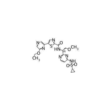 CCOc1cncc(-c2cnc(C(=O)N[C@@H](COC)c3nccc(NS(=O)(=O)C4CC4)n3)s2)n1